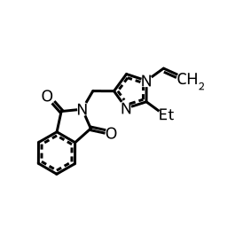 C=Cn1cc(CN2C(=O)c3ccccc3C2=O)nc1CC